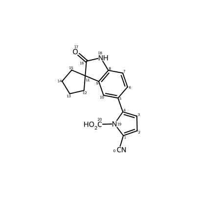 N#Cc1ccc(-c2ccc3c(c2)C2(CCCC2)C(=O)N3)n1C(=O)O